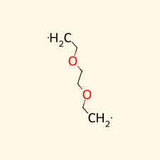 [CH2]COCCOC[CH2]